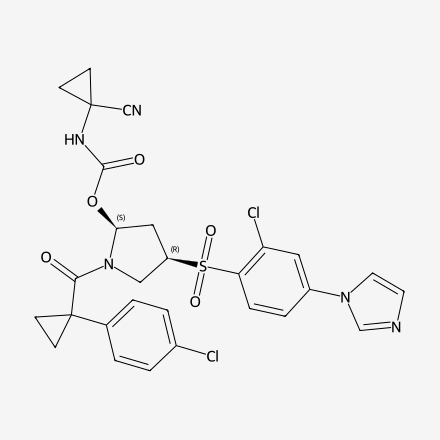 N#CC1(NC(=O)O[C@H]2C[C@@H](S(=O)(=O)c3ccc(-n4ccnc4)cc3Cl)CN2C(=O)C2(c3ccc(Cl)cc3)CC2)CC1